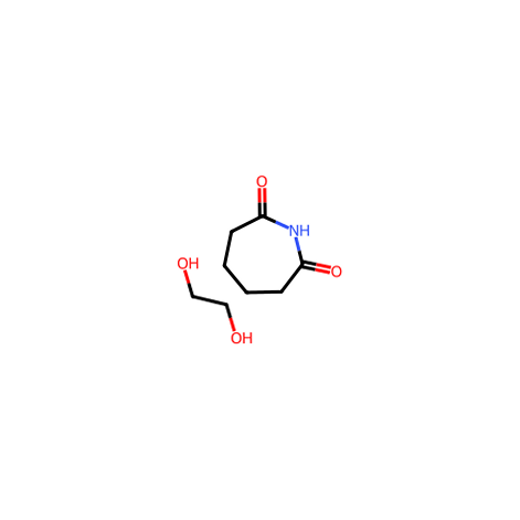 O=C1CCCCC(=O)N1.OCCO